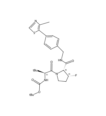 Cc1ncsc1-c1ccc(CNC(=O)[C@@H]2[C@H](F)CCN2C(=O)[C@@H](NC(=O)OC(C)(C)C)C(C)(C)C)cc1